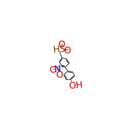 O=[N+]([O-])c1cc(C[SH](=O)=O)ccc1-c1ccc(O)cc1